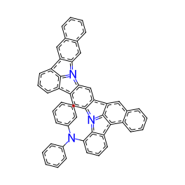 c1ccc(N(c2ccccc2)c2cccc3c4c5ccccc5cc5c6cc7c(cc6n(c23)c54)c2cccc3c4cc5ccccc5cc4n7c32)cc1